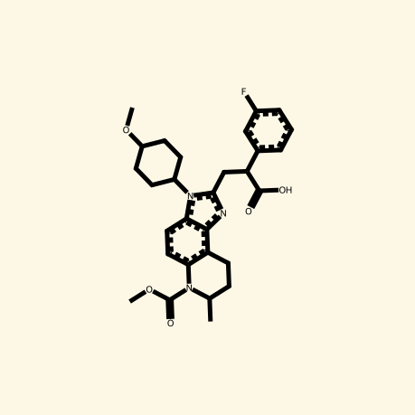 COC(=O)N1c2ccc3c(nc(CC(C(=O)O)c4cccc(F)c4)n3C3CCC(OC)CC3)c2CCC1C